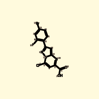 O=C(O)c1cc(Cl)n2nc(-c3ccc(Br)cc3F)cc2n1